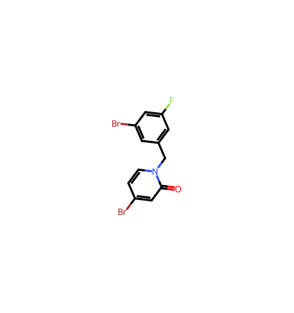 O=c1cc(Br)ccn1Cc1cc(F)cc(Br)c1